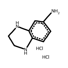 Cl.Cl.Nc1ccc2c(c1)NCCN2